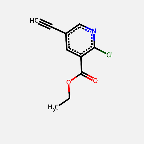 C#Cc1cnc(Cl)c(C(=O)OCC)c1